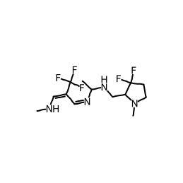 CN/C=C(\C=N/C(C)NCC1N(C)CCC1(F)F)C(F)(F)F